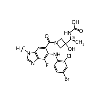 C[C@H](NC(=O)O)C1(O)CN(C(=O)c2cc3c(ncn3C)c(F)c2Nc2ccc(Br)cc2Cl)C1